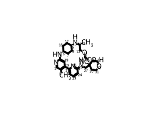 Cc1cnc(N[C@H]2CC[C@H](N[C@@H](C)COCC(=O)O)CC2)cc1-c1cccc(NCC2(C#N)CCOCC2)n1